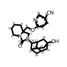 N#Cc1ccc(OCC23CCCCN2C(=O)N(C2C4CC5CC2CC(O)(C5)C4)C3)nc1